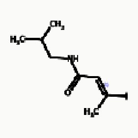 C/C(I)=C\C(=O)NCC(C)C